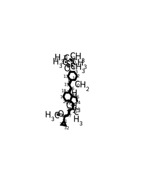 C=C1CC[C@H](O[Si](C)(C)C(C)(C)C)C/C1=C/C=C1\CCC[C@]2(C)[C@@H]([C@@H](C)/C=C/[C@@H](OC)C3CC3)CC[C@@H]12